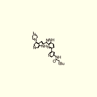 CN1CCN(c2cncc3[nH]c(-c4n[nH]c5ccc(-c6cncc(NC(=O)CC(C)(C)C)c6)nc45)cc23)CC1